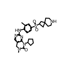 Cc1cc(S(=O)(=O)C2CC3(CCNCC3)C2)ccc1Nc1ncc2c(n1)N(C1CCCC1)C(=O)N(C)C2